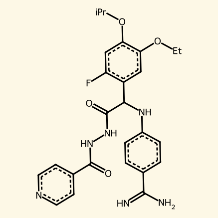 CCOc1cc(C(Nc2ccc(C(=N)N)cc2)C(=O)NNC(=O)c2ccncc2)c(F)cc1OC(C)C